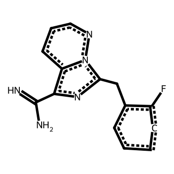 N=C(N)c1nc(Cc2ccccc2F)n2ncccc12